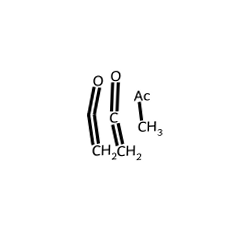 C=C=O.C=C=O.CC(C)=O